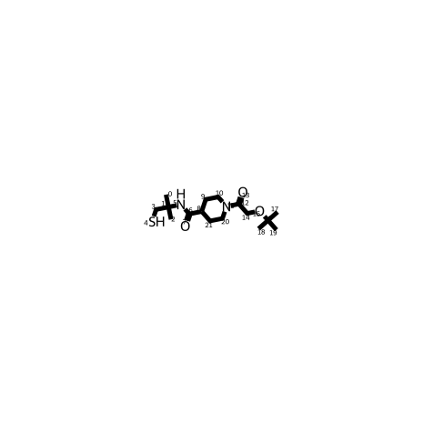 CC(C)(CS)NC(=O)C1CCN(C(=O)COC(C)(C)C)CC1